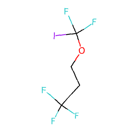 FC(F)(F)CCOC(F)(F)I